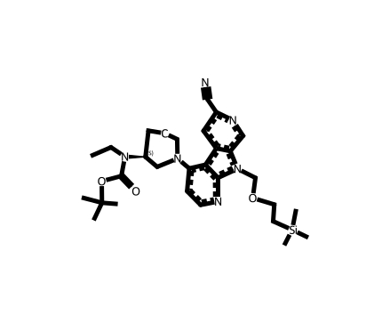 CCN(C(=O)OC(C)(C)C)[C@H]1CCCN(c2ccnc3c2c2cc(C#N)ncc2n3COCC[Si](C)(C)C)C1